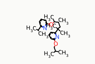 CC(C)COc1cccc(C(C)(C)CC(C)C(C)Oc2cccc(C(C)C)n2)n1